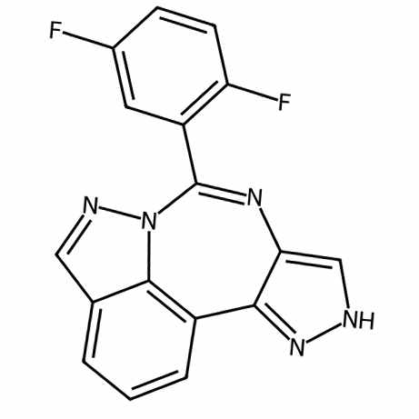 Fc1ccc(F)c(C2=Nc3c[nH]nc3-c3cccc4cnn2c34)c1